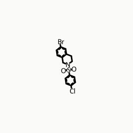 O=S(=O)(c1ccc(Cl)cc1)N1CCc2cc(Br)ccc2C1